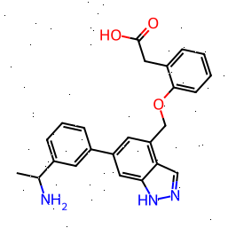 CC(N)c1cccc(-c2cc(COc3ccccc3CC(=O)O)c3cn[nH]c3c2)c1